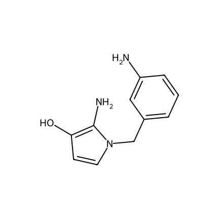 Nc1cccc(Cn2ccc(O)c2N)c1